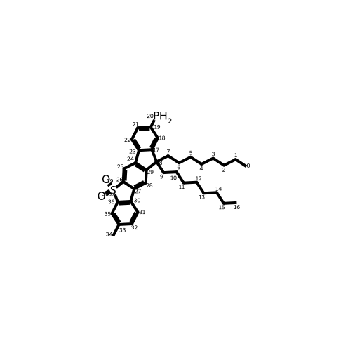 CCCCCCCCC1(CCCCCCCC)c2cc(P)ccc2-c2cc3c(cc21)-c1ccc(C)cc1S3(=O)=O